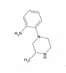 CC1CN(c2ccccc2N)CCN1